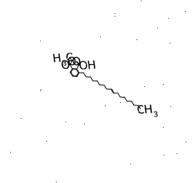 CCCCCCCCC=CCCCCCCCCc1cccc(C(=O)OC)c1C(=O)O